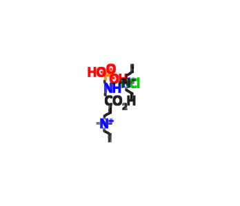 C=CC[N+](C)(C)CC=C.C=CC[N+](C)(C)CC=C.Cl.O=C(O)CNCP(=O)(O)O